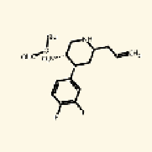 C=CCC1C[C@@H](c2ccc(F)c(F)c2)[C@H]([N+](=O)[O-])CN1.CC(C)(C)OC=O